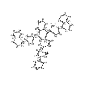 c1ccc2c(-c3ccc(-c4c5ccccc5c(-c5ccc(-c6cccc7ccccc67)cc5)c5cc(-c6ccc(-c7ccncc7)cn6)ccc45)cc3)cccc2c1